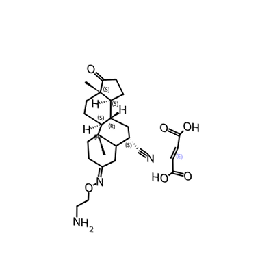 C[C@]12CCC(=NOCCN)CC1[C@@H](C#N)C[C@@H]1[C@@H]2CC[C@]2(C)C(=O)CC[C@@H]12.O=C(O)/C=C/C(=O)O